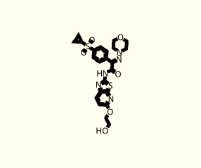 O=C(Nc1nc2ccc(OCCO)nc2s1)/C(=N/N1CCOCC1)c1ccc(S(=O)(=O)C2CC2)cc1